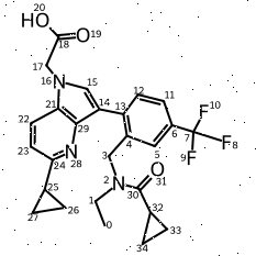 CCN(Cc1cc(C(F)(F)F)ccc1-c1cn(CC(=O)O)c2ccc(C3CC3)nc12)C(=O)C1CC1